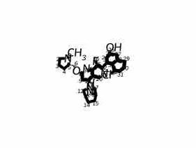 CN1CCC[C@H]1COc1cc(N2CC3CCC(C2)N3)c2cnc(-c3cc(O)cc4cccc(Cl)c34)c(F)c2n1